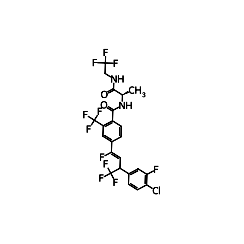 C[C@@H](NC(=O)c1ccc(/C(F)=C/C(c2ccc(Cl)c(F)c2)C(F)(F)F)cc1C(F)(F)F)C(=O)NCC(F)(F)F